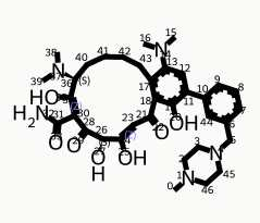 CN1CCN(Cc2cccc(-c3cc(N(C)C)c4c(c3O)C(=O)/C=C(\O)[C@H](O)C(=O)/C(C(N)=O)=C(/O)[C@@H](N(C)C)CCCC4)c2)CC1